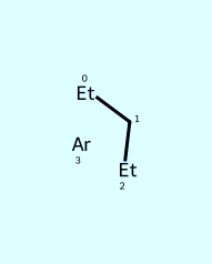 CCCCC.[Ar]